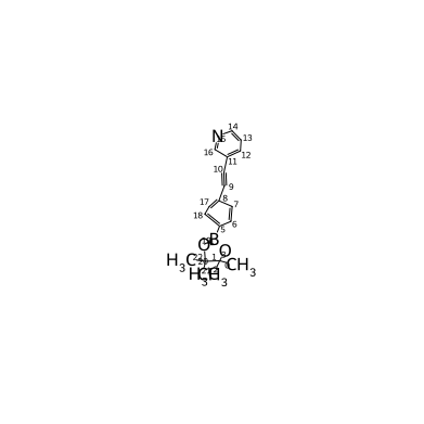 CC1(C)OB(c2ccc(C#Cc3cccnc3)cc2)OC1(C)C